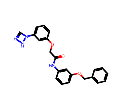 O=C(COc1cccc(-n2cn[nH]2)c1)Nc1cccc(OCc2ccccc2)c1